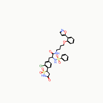 O=C1CC(c2ccc(CC(NS(=O)(=O)c3ccccc3)C(=O)NCCCCOc3ccccc3-c3ccno3)cc2Cl)S(=O)(=O)N1